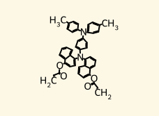 C=CC(=O)Oc1cccc2c(N(c3ccc(N(c4ccc(C)cc4)c4ccc(C)cc4)cc3)c3ccc(OC(=O)C=C)c4ccccc34)cccc12